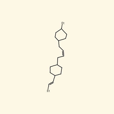 CCC=CC1CCC(C/C=C\CC2CCC(CC)CC2)CC1